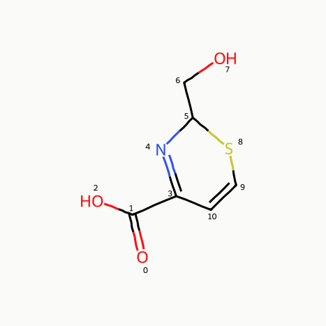 O=C(O)C1=NC(CO)SC=C1